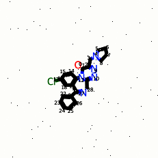 O=c1c(CN2CCCC2)nnc2n1-c1ccc(Cl)cc1C(c1ccccc1)=NC2